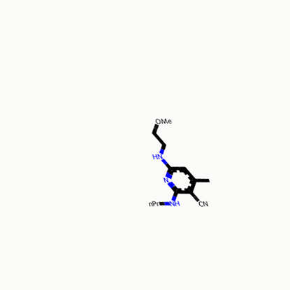 CCCNc1nc(NCCOC)cc(C)c1C#N